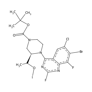 CC(OI)[C@H]1CN(C(=O)OC(C)(C)C)CCN1c1nc(F)nc2c(F)c(Br)c(Cl)cc12